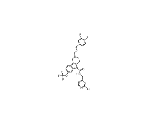 O=C(NCc1ccnc(Cl)c1)n1c2c(c3ccc(OC(F)(F)F)cc31)CN(C/C=C/c1ccc(F)c(F)c1)CC2